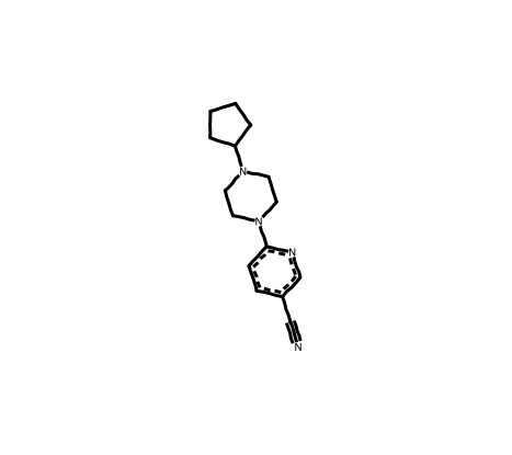 N#Cc1ccc(N2CCN(C3CCCC3)CC2)nc1